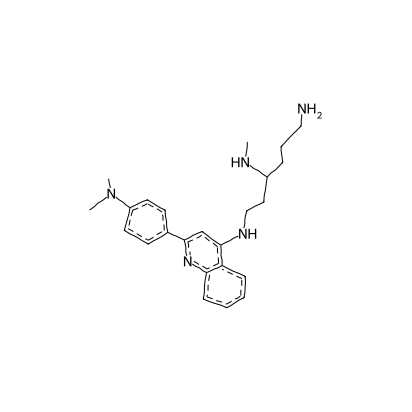 CNC(CCCN)CCNc1cc(-c2ccc(N(C)C)cc2)nc2ccccc12